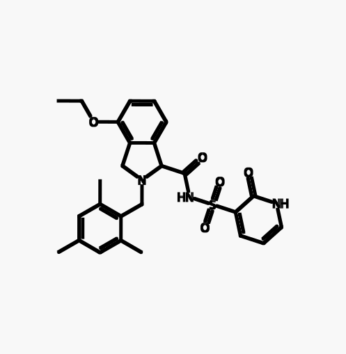 CCOc1cccc2c1CN(Cc1c(C)cc(C)cc1C)C2C(=O)NS(=O)(=O)c1ccc[nH]c1=O